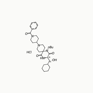 CCCCN1C(=O)[C@@H]([C@H](O)C2CCCCC2)NC(=O)C12CCN(C1CCN(C(=O)c3ccccc3)CC1)CC2.Cl